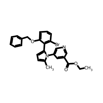 CCOC(=O)c1cncc(-n2c(C)ccc2-c2c(Br)cccc2OCc2ccccc2)c1